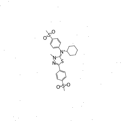 Cn1nc(-c2ccc(S(C)(=O)=O)cc2)sc1=[N+](c1ccc(S(C)(=O)=O)cc1)C1CCCCC1